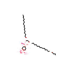 CCCCCCCCCCCCCCCC(=O)O[C@@H](COP(=O)(O)OC1C(O)[C@H](O)C(OP(=O)(O)O)[C@H](OP(=O)(O)O)[C@@H]1O)CC(=O)OCCCCCCCCCCCCCCSC(=O)CCC